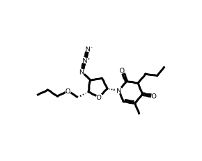 CCCOC[C@H]1O[C@@H](N2C=C(C)C(=O)C(CCC)C2=O)CC1N=[N+]=[N-]